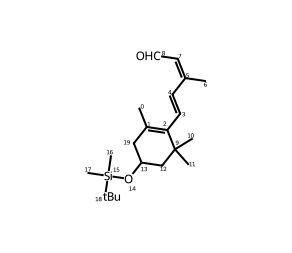 CC1=C(/C=C/C(C)=C\C=O)C(C)(C)CC(O[Si](C)(C)C(C)(C)C)C1